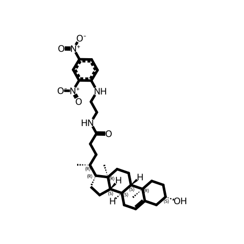 C[C@H](CCC(=O)NCCNc1ccc([N+](=O)[O-])cc1[N+](=O)[O-])[C@H]1CC[C@H]2[C@@H]3CC=C4C[C@@H](O)CC[C@]4(C)[C@H]3CC[C@]12C